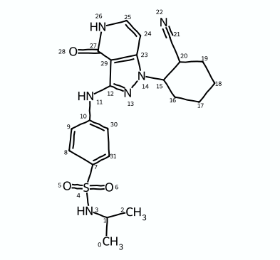 CC(C)NS(=O)(=O)c1ccc(Nc2nn(C3CCCCC3C#N)c3cc[nH]c(=O)c23)cc1